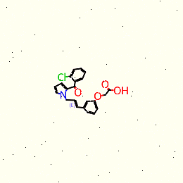 O=C(O)COc1cccc(/C=C/Cn2cccc2C(=O)c2ccccc2Cl)c1